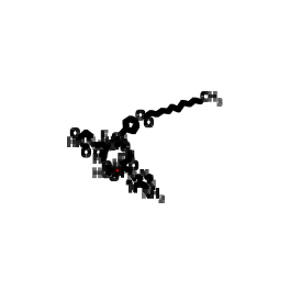 CCCCCCCCCCCC(=O)Oc1ccc(CSP2(=O)OC[C@H]3O[C@@H](n4cnc5c(N)ncnc54)[C@H](OP(=O)(O)OC[C@H]4O[C@@H](n5ccc(=O)[nH]c5=O)[C@H](F)[C@@H]4O2)[C@@H]3F)cc1